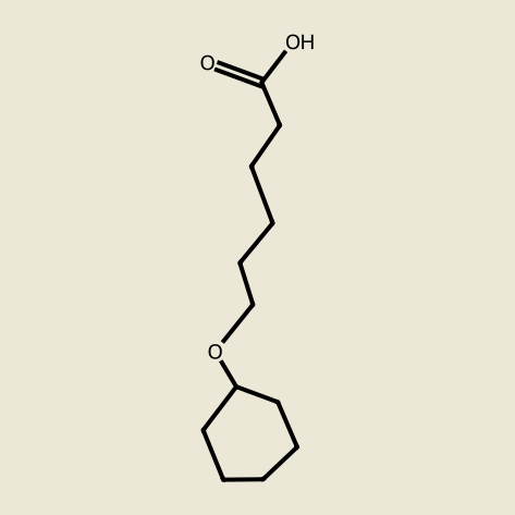 O=C(O)CCCCCOC1CCCCC1